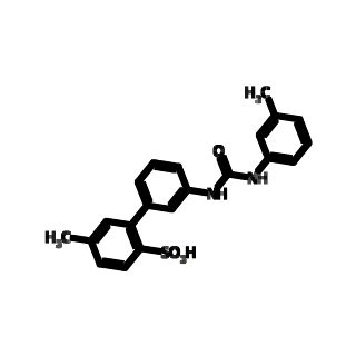 Cc1cccc(NC(=O)Nc2cccc(-c3cc(C)ccc3S(=O)(=O)O)c2)c1